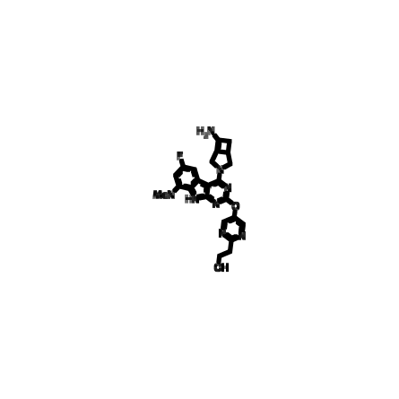 CNc1cc(F)cc2c1[nH]c1nc(Oc3cnc(CCO)nc3)nc(N3CC4=C(N)CC4C3)c12